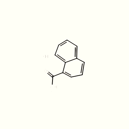 O=C(O)c1cccc2ccccc12.[KH]